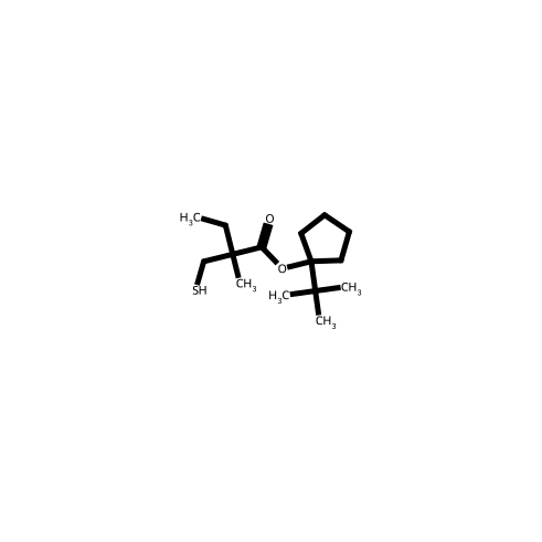 CCC(C)(CS)C(=O)OC1(C(C)(C)C)CCCC1